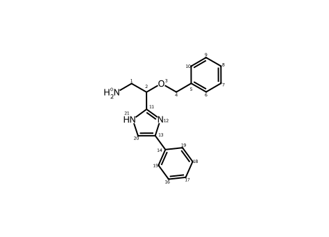 NCC(OCc1ccccc1)c1nc(-c2ccccc2)c[nH]1